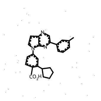 Cc1cccc(-c2cnc3ccn(-c4ccc(C(=O)O)c(C5CCCC5)c4)c3n2)c1